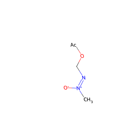 CC(=O)OC/N=[N+](/C)[O-]